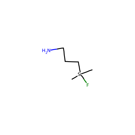 C[Si](C)(F)CCCN